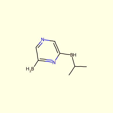 Bc1cncc(BC(C)C)n1